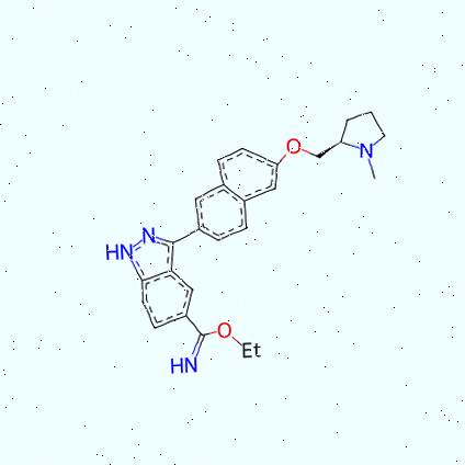 CCOC(=N)c1ccc2[nH]nc(-c3ccc4cc(OC[C@H]5CCCN5C)ccc4c3)c2c1